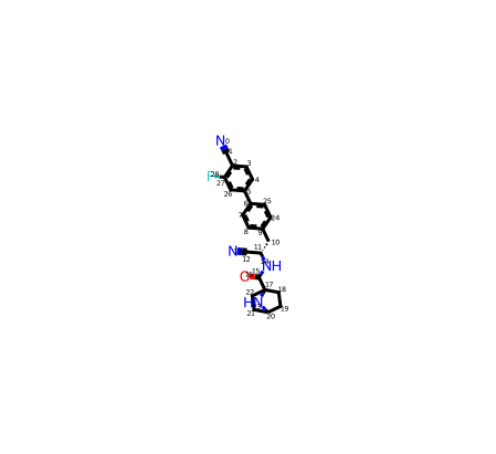 N#Cc1ccc(-c2ccc(C[C@@H](C#N)NC(=O)C34CCC(CC3)N4)cc2)cc1F